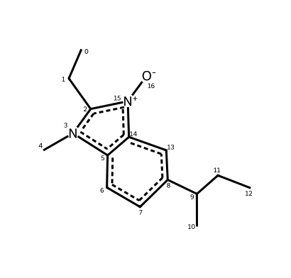 CCc1n(C)c2ccc(C(C)CC)cc2[n+]1[O-]